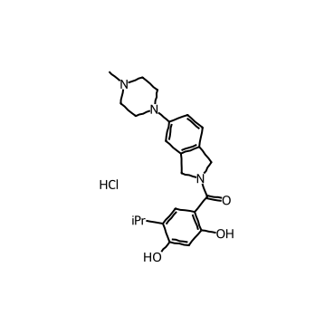 CC(C)c1cc(C(=O)N2Cc3ccc(N4CCN(C)CC4)cc3C2)c(O)cc1O.Cl